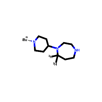 [2H]C1([2H])CCNCCN1C1CCN([C@@H](C)CC)CC1